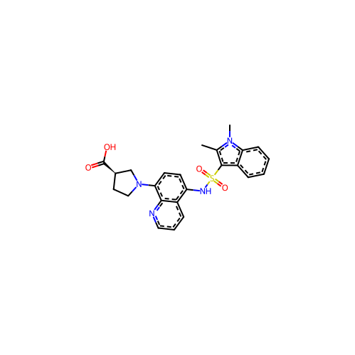 Cc1c(S(=O)(=O)Nc2ccc(N3CC[C@@H](C(=O)O)C3)c3ncccc23)c2ccccc2n1C